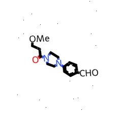 COCCC(=O)N1CCN(c2ccc(C=O)cc2)CC1